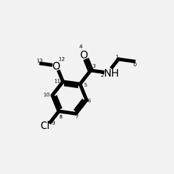 CCNC(=O)c1ccc(Cl)cc1OC